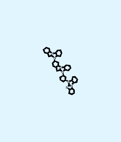 c1cc(-n2c3ccccc3n3c4cc(-n5c6ccccc6n6c7ccccc7cc56)ccc4cc23)cc(-n2c3ccccc3n3c4ccccc4nc23)c1